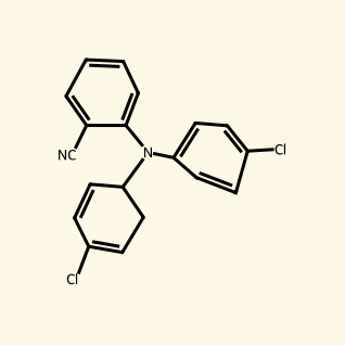 N#Cc1ccccc1N(c1ccc(Cl)cc1)C1C=CC(Cl)=CC1